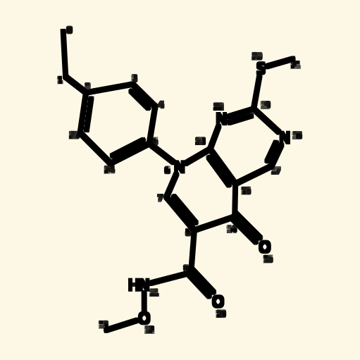 CCc1ccc(-n2cc(C(=O)NOC)c(=O)c3cnc(SC)nc32)cc1